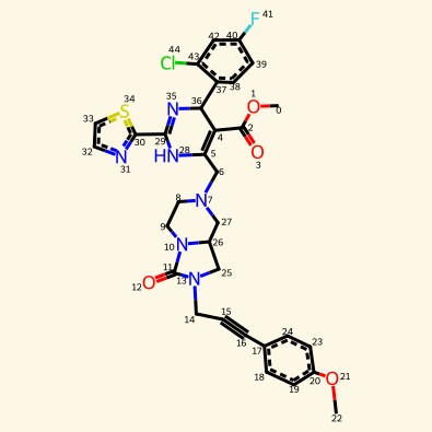 COC(=O)C1=C(CN2CCN3C(=O)N(CC#Cc4ccc(OC)cc4)CC3C2)NC(c2nccs2)=NC1c1ccc(F)cc1Cl